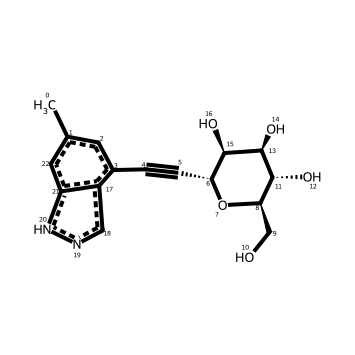 Cc1cc(C#C[C@H]2O[C@H](CO)[C@@H](O)[C@H](O)[C@@H]2O)c2cn[nH]c2c1